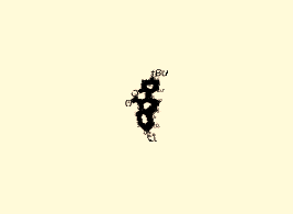 CCc1ccc2c(ccc3c4ccc(C(C)(C)C)cc4oc(=O)c23)c1